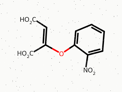 O=C(O)C=C(Oc1ccccc1[N+](=O)[O-])C(=O)O